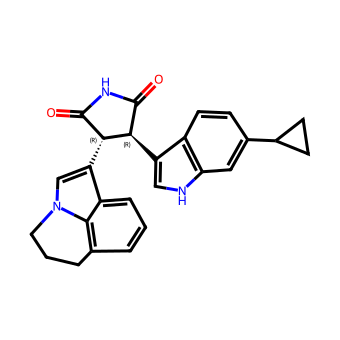 O=C1NC(=O)[C@@H](c2cn3c4c(cccc24)CCC3)[C@@H]1c1c[nH]c2cc(C3CC3)ccc12